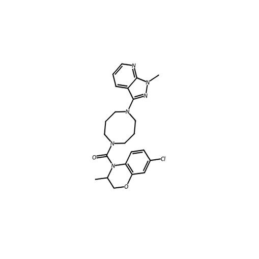 CC1COc2cc(Cl)ccc2N1C(=O)N1CCCN(c2nn(C)c3ncccc23)CCC1